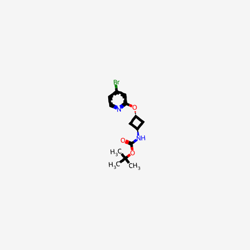 CC(C)(C)OC(=O)N[C@H]1C[C@H](Oc2cc(Br)ccn2)C1